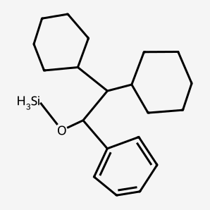 [SiH3]OC(c1ccccc1)C(C1CCCCC1)C1CCCCC1